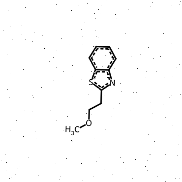 COCCc1nc2cc[c]cc2s1